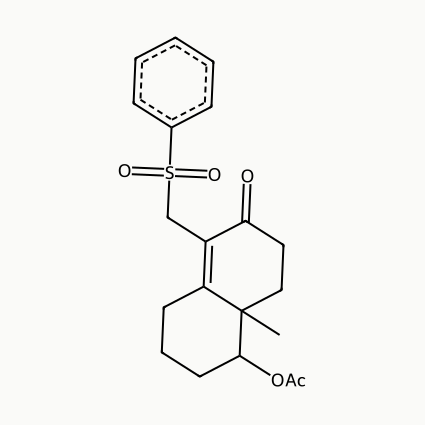 CC(=O)OC1CCCC2=C(CS(=O)(=O)c3ccccc3)C(=O)CCC21C